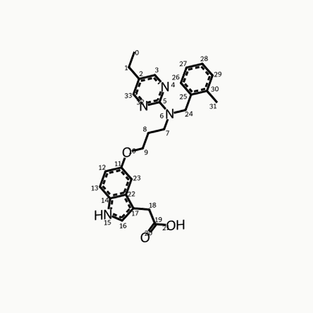 CCc1cnc(N(CCCOc2ccc3[nH]cc(CC(=O)O)c3c2)Cc2ccccc2C)nc1